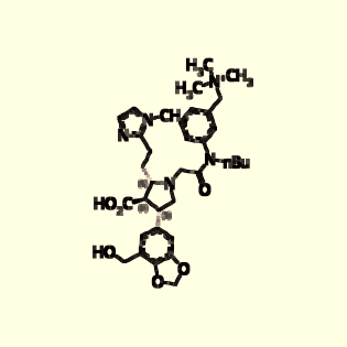 CCCCN(C(=O)CN1C[C@H](c2cc(CO)c3c(c2)OCO3)[C@@H](C(=O)O)[C@@H]1CCc1nccn1C)c1cccc(C[N+](C)(C)C)c1